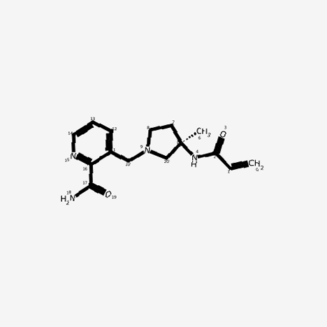 C=CC(=O)N[C@]1(C)CCN(Cc2cccnc2C(N)=O)C1